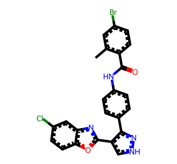 Cc1cc(Br)ccc1C(=O)Nc1ccc(-c2n[nH]cc2-c2nc3cc(Cl)ccc3o2)cc1